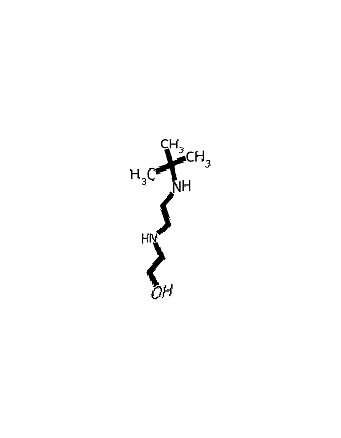 CC(C)(C)NCCNCCO